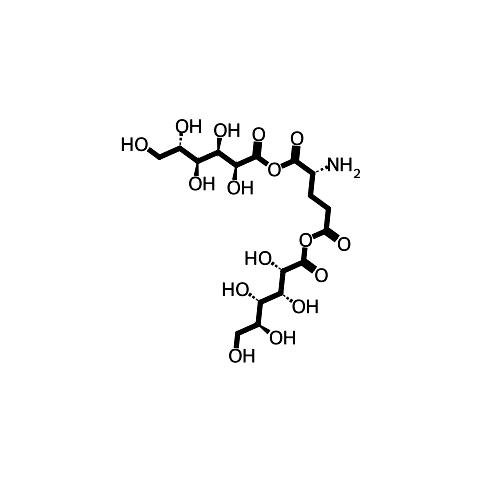 N[C@H](CCC(=O)OC(=O)[C@@H](O)[C@H](O)[C@@H](O)[C@@H](O)CO)C(=O)OC(=O)[C@@H](O)[C@H](O)[C@@H](O)[C@@H](O)CO